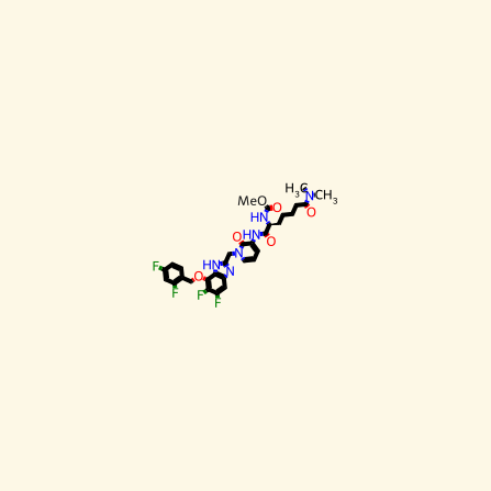 COC(=O)N[C@@H](CCCCC(=O)N(C)C)C(=O)Nc1cccn(Cc2nc3cc(F)c(F)c(OCc4ccc(F)cc4F)c3[nH]2)c1=O